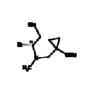 CC[C@H](CC(C)(C)C)N(C)CC1(OC)CC1